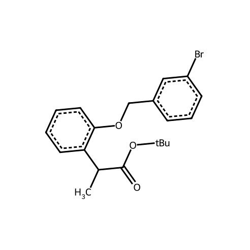 CC(C(=O)OC(C)(C)C)c1ccccc1OCc1cccc(Br)c1